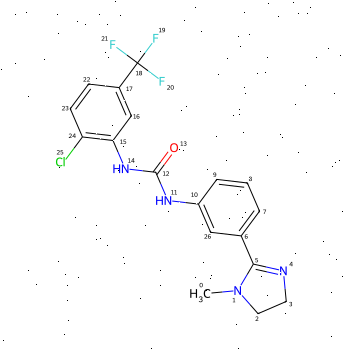 CN1CCN=C1c1cccc(NC(=O)Nc2cc(C(F)(F)F)ccc2Cl)c1